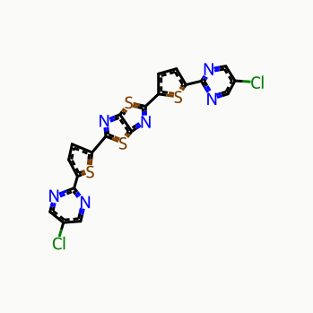 Clc1cnc(-c2ccc(-c3nc4sc(-c5ccc(-c6ncc(Cl)cn6)s5)nc4s3)s2)nc1